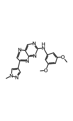 COc1cc(Nc2ncc3ncc(-c4cnn(C)c4)nc3n2)cc(OC)c1